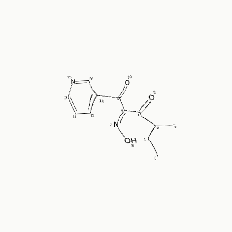 CCC(C)C(=O)C(=NO)C(=O)c1cccnc1